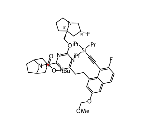 COCOc1cc(CCc2nc(OC[C@@]34CCCN3C[C@H](F)C4)nc(N3CC4CCC(C3)N4C(=O)OC(C)(C)C)n2)c2c(C#C[Si](C(C)C)(C(C)C)C(C)C)c(F)ccc2c1